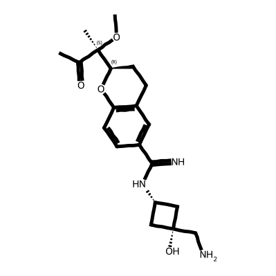 CO[C@](C)(C(C)=O)[C@H]1CCc2cc(C(=N)N[C@H]3C[C@](O)(CN)C3)ccc2O1